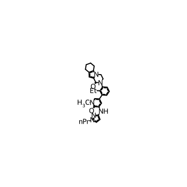 CCCn1ccc(Nc2cc(-c3cccc(N4CCn5c(cc6c5CCCC6)C4=O)c3CC)cn(C)c2=O)n1